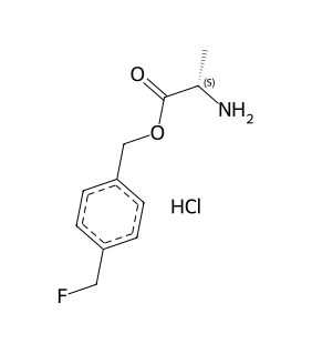 C[C@H](N)C(=O)OCc1ccc(CF)cc1.Cl